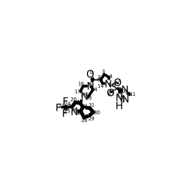 O=C([C@H]1CCN(S(=O)(=O)c2ncn[nH]2)C1)N1CCN(c2cc(C(F)(F)F)nc3ccccc23)CC1